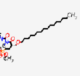 CCCCCCCCCCCCCCCCOC[C@H](CCP(=O)(OC)OC)C(=O)N(C)C(=O)NC